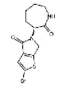 O=C1NCCCC[C@@H]1N1Cc2sc(Br)cc2C1=O